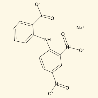 O=C([O-])c1ccccc1Nc1ccc([N+](=O)[O-])cc1[N+](=O)[O-].[Na+]